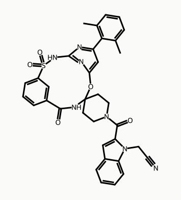 Cc1cccc(C)c1-c1cc2nc(n1)NS(=O)(=O)c1cccc(c1)C(=O)NC1(CCN(C(=O)c3cc4ccccc4n3CC#N)CC1)O2